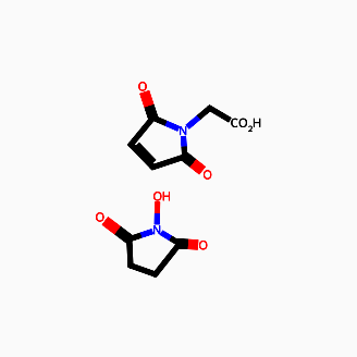 O=C(O)CN1C(=O)C=CC1=O.O=C1CCC(=O)N1O